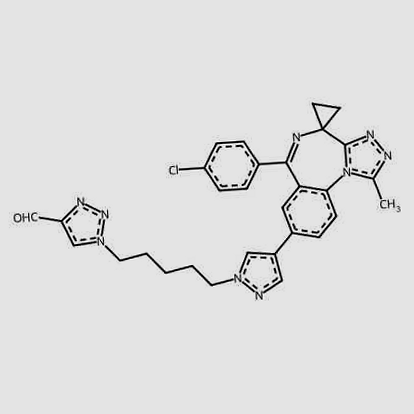 Cc1nnc2n1-c1ccc(-c3cnn(CCCCCn4cc(C=O)nn4)c3)cc1C(c1ccc(Cl)cc1)=NC21CC1